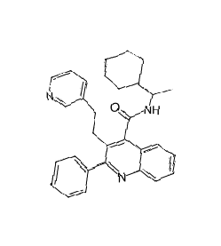 CC(NC(=O)c1c(CCc2cccnc2)c(-c2ccccc2)nc2ccccc12)C1CCCCC1